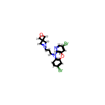 Brc1ccc2c(c1)Oc1cc(Br)cnc1N2CCCN1CC2(COC2)C1